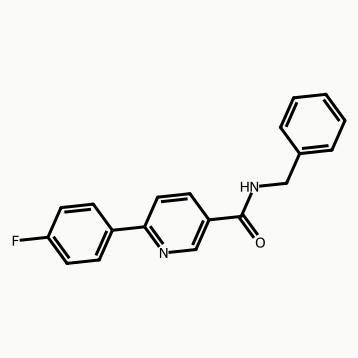 O=C(NCc1ccccc1)c1ccc(-c2ccc(F)cc2)nc1